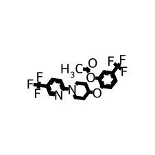 CC(=O)Oc1cc(C(F)(F)F)ccc1OC1CCN(c2ccc(C(F)(F)F)cn2)CC1